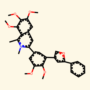 COc1cc(-c2cc3cc(OC)c(OC)c(OC)c3c(C)[n+]2C)cc(-c2coc(-c3ccccc3)c2)c1OC